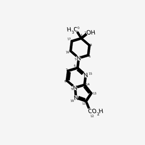 CC1(O)CCN(c2ccn3nc(C(=O)O)cc3n2)CC1